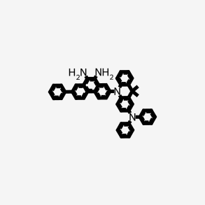 CC1(C)c2ccccc2N(c2ccc3c(c2)c(N)c(N)c2cc(-c4ccccc4)ccc23)c2ccc(N(c3ccccc3)c3ccccc3)cc21